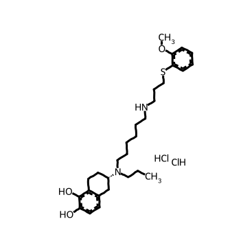 CCCN(CCCCCCNCCCSc1ccccc1OC)[C@H]1CCc2c(ccc(O)c2O)C1.Cl.Cl